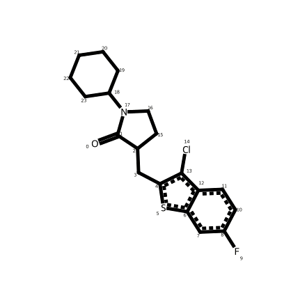 O=C1C(Cc2sc3cc(F)ccc3c2Cl)CCN1C1CCCCC1